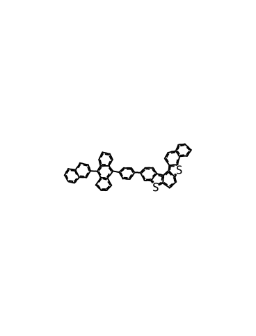 c1ccc2cc(-c3c4ccccc4c(-c4ccc(-c5ccc6c(c5)sc5ccc7sc8c9ccccc9ccc8c7c56)cc4)c4ccccc34)ccc2c1